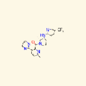 Cc1ccc(-c2ncccn2)c(C(=O)N2CCC[C@H](Nc3ccc(C(F)(F)F)cn3)[C@H]2C)n1